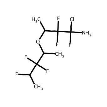 CC(F)C(F)(F)C(C)OC(C)C(F)(F)C(N)(F)Cl